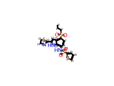 CCCS(=O)(=O)c1ccc(NS(=O)(=O)c2cccs2)c2[nH]c(C3=NCCS3)cc12